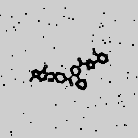 COc1cnccc1-c1cnc(C(=O)N2CC[C@@H](C(=O)N3CCC(O)(Cn4cnc5c(ccn5C)c4=O)CC3)[C@H](c3ccccc3)C2)s1